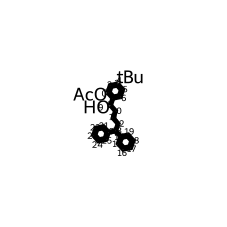 CC(=O)Oc1cc(C(C)(C)C)ccc1C(O)CCC[C](c1ccccc1)c1ccccc1